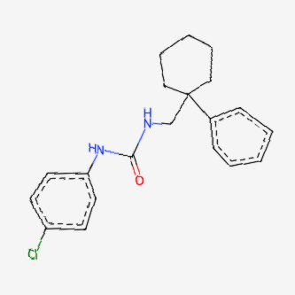 O=C(NCC1(c2ccccc2)CCCCC1)Nc1ccc(Cl)cc1